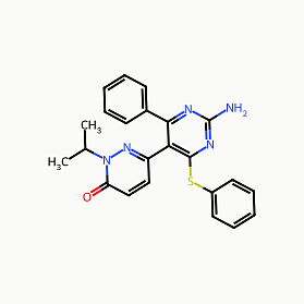 CC(C)n1nc(-c2c(Sc3ccccc3)nc(N)nc2-c2ccccc2)ccc1=O